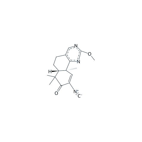 [C-]#[N+]C1=C[C@]2(C)c3nc(OC)ncc3CC[C@H]2C(C)(C)C1=O